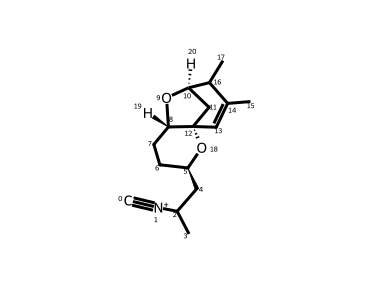 [C-]#[N+]C(C)C[C@H]1CC[C@@H]2O[C@@H]3C[C@]2(C=C(C)C3C)O1